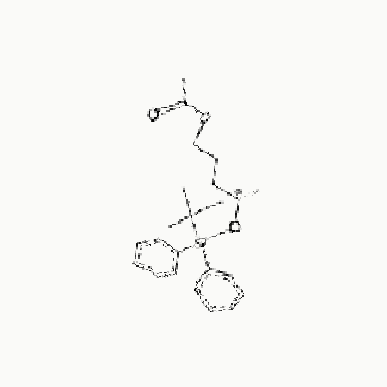 CC(=O)OCCC[C@H](C)O[Si](c1ccccc1)(c1ccccc1)C(C)(C)C